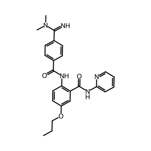 CCCOc1ccc(NC(=O)c2ccc(C(=N)N(C)C)cc2)c(C(=O)Nc2ccccn2)c1